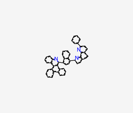 c1ccc(-c2ccc3ccc4ccc(-c5ccc(-c6nc7ccccc7c7c8ccccc8c8ccccc8c67)c6ccccc56)nc4c3n2)cc1